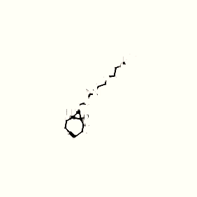 CCCOCCOCCNC(=O)OC[C@@H]1[C@@H]2CCC#CCC[C@@H]21